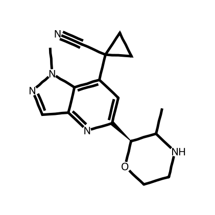 CC1NCCO[C@H]1c1cc(C2(C#N)CC2)c2c(cnn2C)n1